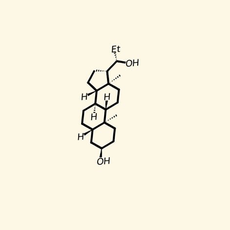 CC[C@H](O)[C@H]1CC[C@H]2[C@@H]3CC[C@H]4C[C@H](O)CC[C@]4(C)[C@H]3CC[C@]12C